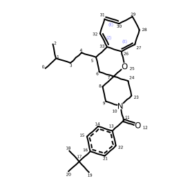 CC(C)CCC1CC2(CCN(C(=O)c3ccc(C(C)(C)C)cc3)CC2)OC2=C/CC/C=C/C=C\21